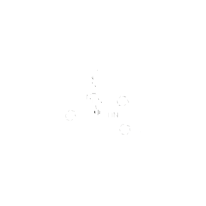 CC[C@H](C)[C@@]1(NC(=O)COC)CCN([C@@H](CCc2ccccc2)C(=O)N[C@@H](Cc2ccccc2)[C@@H](O)CNCc2cccc(OC)c2)C1=O